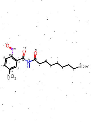 CCCCCCCCCCCCCCCCCC(=O)NC(=O)c1cc([N+](=O)[O-])ccc1I=O